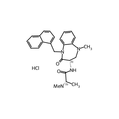 CN[C@@H](C)C(=O)N[C@H]1CN(C)c2ccccc2N(Cc2cccc3ccccc23)C1=O.Cl